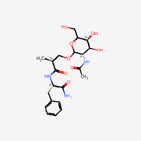 CC(=O)N[C@@H]1C(OC[C@H](C)C(=O)N[C@@H](Cc2ccccc2)C(N)=O)OC(CO)[C@@H](O)C1O